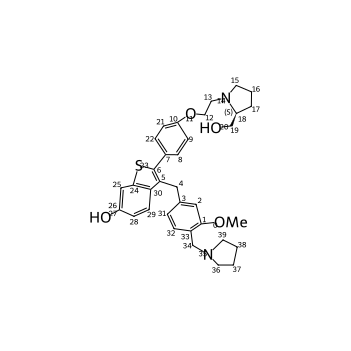 COc1cc(Cc2c(-c3ccc(OCCN4CCC[C@H]4CO)cc3)sc3cc(O)ccc23)ccc1CN1CCCC1